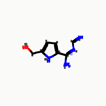 N=C/N=C(/N)c1ccc(CO)[nH]1